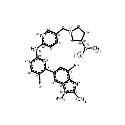 Cc1nc2c(F)cc(-c3nc(Nc4ccc(CN5CC[C@@H](N(C)C)C5)cn4)ncc3F)cc2n1C(C)C